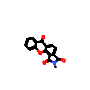 CN1C(=O)c2ccc3c(=O)c4ccccc4oc3c2C1=O